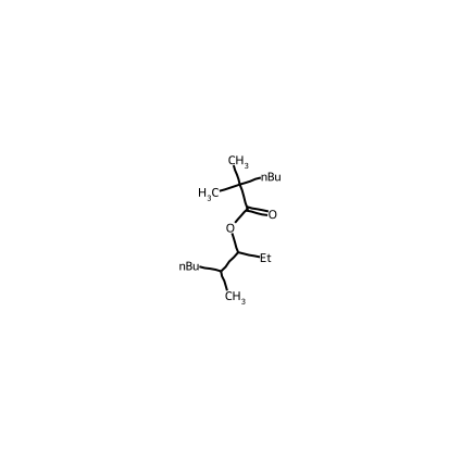 CCCCC(C)C(CC)OC(=O)C(C)(C)CCCC